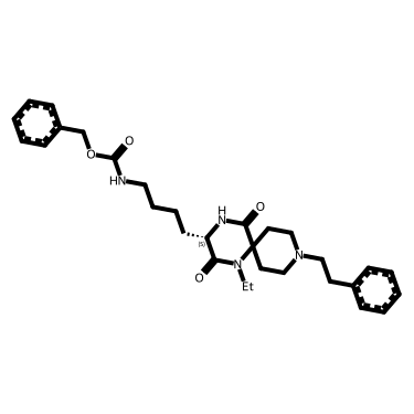 CCN1C(=O)[C@H](CCCCNC(=O)OCc2ccccc2)NC(=O)C12CCN(CCc1ccccc1)CC2